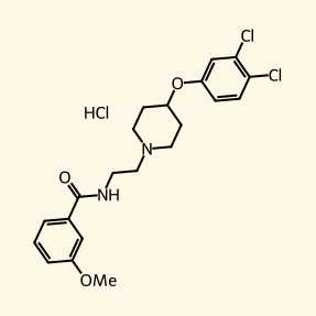 COc1cccc(C(=O)NCCN2CCC(Oc3ccc(Cl)c(Cl)c3)CC2)c1.Cl